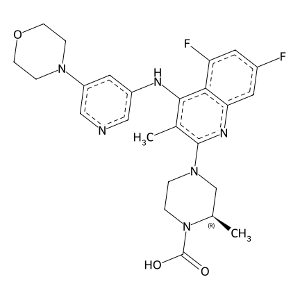 Cc1c(N2CCN(C(=O)O)[C@H](C)C2)nc2cc(F)cc(F)c2c1Nc1cncc(N2CCOCC2)c1